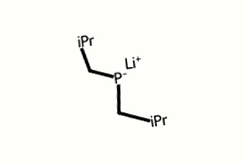 CC(C)C[P-]CC(C)C.[Li+]